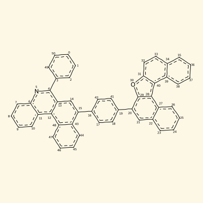 c1ccc(-c2nc3ccccc3c3c2cc(-c2ccc(-c4cc5ccccc5c5c4oc4ccc6ccccc6c45)cc2)c2ccccc23)cc1